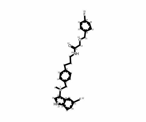 CN(Cc1ccc(CCCNC(=O)COCc2ccc(F)cc2)cc1)c1c[nH]c2ccc(F)cc12